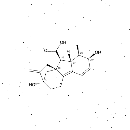 C=C1C[C@]23C[C@@]1(O)CCC2=C1C=C[C@H](O)[C@H](C)[C@H]1[C@@H]3C(=O)O